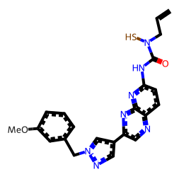 C=CCN(S)C(=O)Nc1ccc2ncc(-c3cnn(Cc4cccc(OC)c4)c3)nc2n1